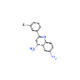 CCc1cccc(-c2cc(N)c3cc(N)ccc3n2)c1